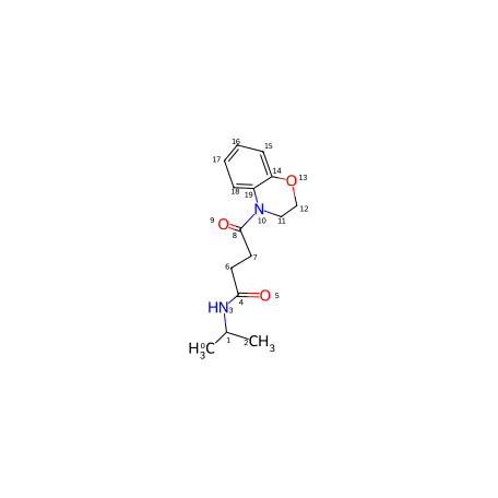 CC(C)NC(=O)CCC(=O)N1CCOc2ccccc21